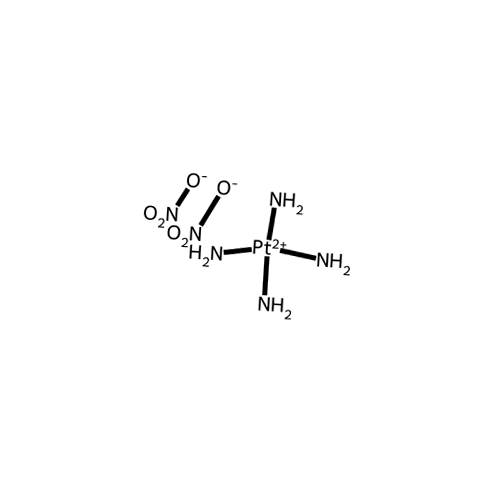 O=[N+]([O-])[O-].O=[N+]([O-])[O-].[NH2][Pt+2]([NH2])([NH2])[NH2]